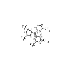 Fc1c(B(c2cc(C(F)(F)F)cc(C(F)(F)F)c2)c2cc(C(F)(F)F)cc(C(F)(F)F)c2)cccc1C(F)(F)F